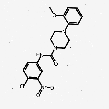 COc1ccccc1N1CCN(C(=O)Nc2ccc(Cl)c([N+](=O)[O-])c2)CC1